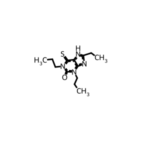 CCCn1c(=S)c2[nH]c(CC)nc2n(CCC)c1=O